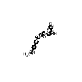 Cn1cnc(-c2ccc(C3=CCN(C(=O)CN4CC[C@]5(CCN(c6ccc7[nH]nc(-c8cnc(Cl)cc8F)c7n6)C5=O)C4)CC3)cc2)n1